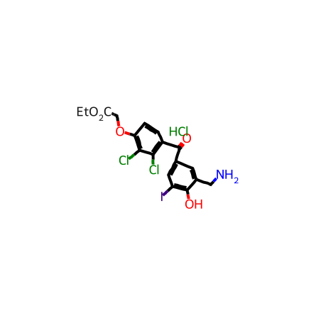 CCOC(=O)COc1ccc(C(=O)c2cc(I)c(O)c(CN)c2)c(Cl)c1Cl.Cl